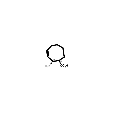 N[C@H]1C=CCCCC[C@H]1C(=O)O